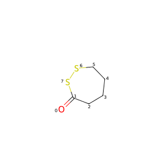 O=C1CCCCSS1